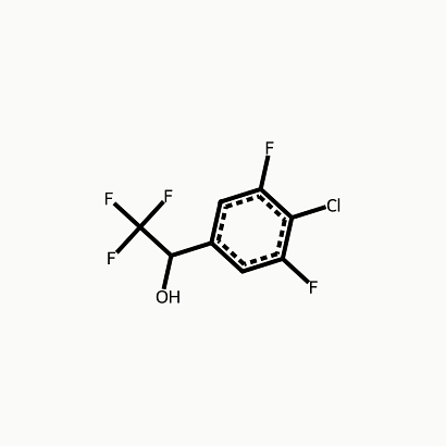 OC(c1cc(F)c(Cl)c(F)c1)C(F)(F)F